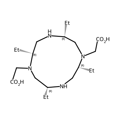 CC[C@@H]1CN(CC(=O)O)[C@H](CC)CN[C@H](CC)CN(CC(=O)O)[C@H](CC)CN1